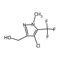 Cn1nc(CO)c(Cl)c1C(F)(F)F